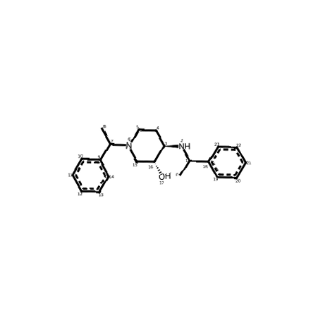 CC(N[C@@H]1CCN(C(C)c2ccccc2)C[C@H]1O)c1ccccc1